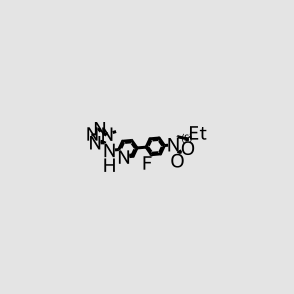 CC[C@H]1CN(c2ccc(-c3ccc(Nc4nnnn4C)nc3)c(F)c2)C(=O)O1